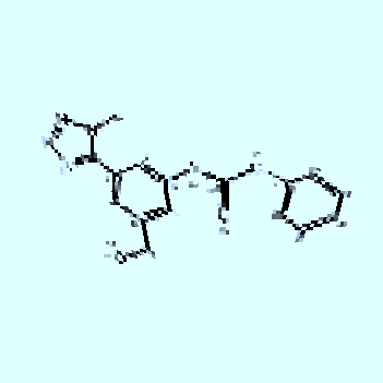 Cn1nnnc1-c1cc(CO)cc(NC(=O)Oc2ccccc2)c1